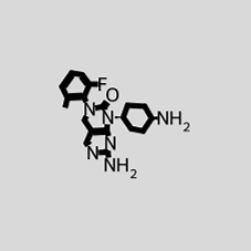 Cc1cccc(F)c1N1Cc2cnc(N)nc2N([C@H]2CC[C@H](N)CC2)C1=O